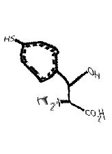 NC(C(=O)O)C(O)c1ccc(S)cc1